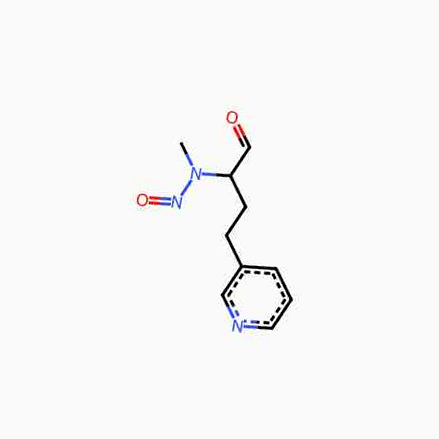 CN(N=O)C(C=O)CCc1cccnc1